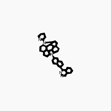 C1=CC2c3c4c(ccc5c4c4c(n(-c6ccc7cc(-c8nncc9ccccc89)ccc7c6)c6ccc1c3c46)=CC5)N2c1ccccn1